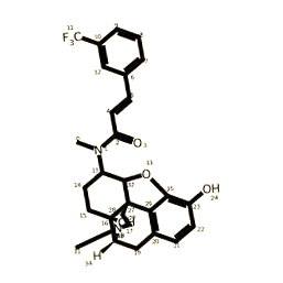 CN(C(=O)/C=C/c1cccc(C(F)(F)F)c1)C1CC[C@@]2(O)[C@H]3Cc4ccc(O)c5c4[C@@]2(CCN3C)C1O5